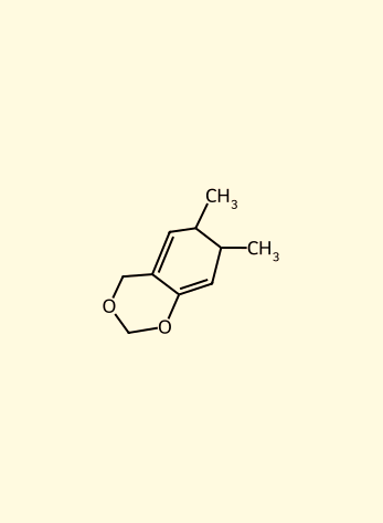 CC1C=C2COCOC2=CC1C